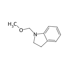 COCN1CCc2ccccc21